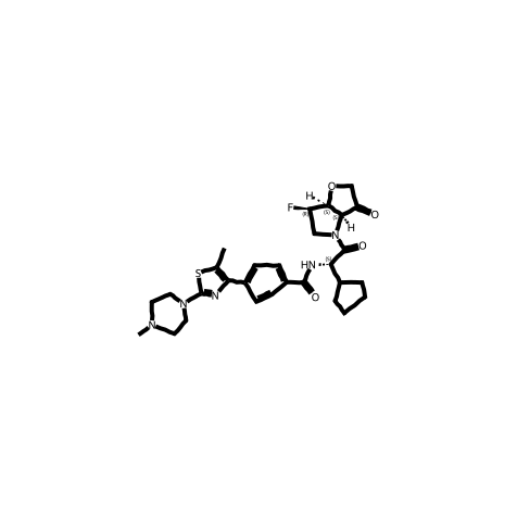 Cc1sc(N2CCN(C)CC2)nc1-c1ccc(C(=O)N[C@H](C(=O)N2C[C@@H](F)[C@H]3OCC(=O)[C@H]32)C2CCCC2)cc1